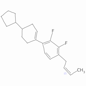 C/C=C\Cc1ccc(C2=CCC(C3CCCC3)CC2)c(F)c1F